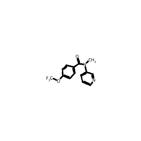 CN(C(=O)c1ccc(OC(F)(F)F)cc1)c1cccnc1